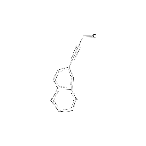 O=CC#Cc1ccc2cccnc2c1